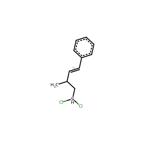 CC(/C=C/c1ccccc1)C[SiH](Cl)Cl